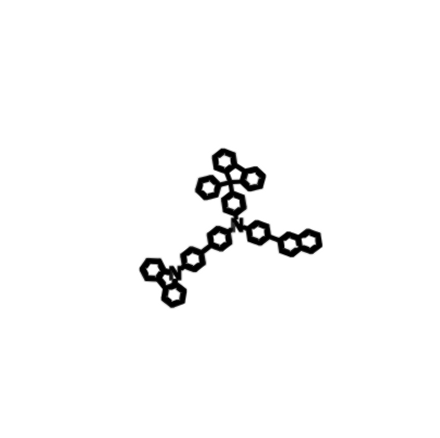 c1ccc(C2(c3ccc(N(c4ccc(-c5ccc(-n6c7ccccc7c7ccccc76)cc5)cc4)c4ccc(-c5ccc6ccccc6c5)cc4)cc3)c3ccccc3-c3ccccc32)cc1